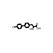 N=C(Cc1ccc(-c2ccc(Cl)cc2)cc1)C(=O)O